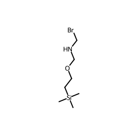 C[Si](C)(C)CCOCNCBr